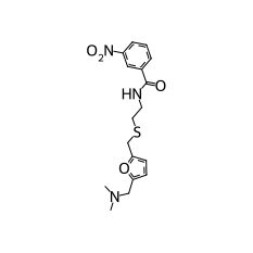 CN(C)Cc1ccc(CSCCNC(=O)c2cccc([N+](=O)[O-])c2)o1